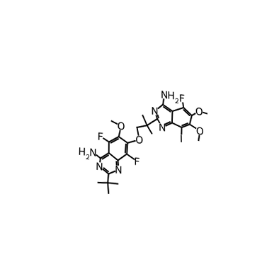 COc1c(OC)c(F)c2c(N)nc(C(C)(C)COc3c(OC)c(F)c4c(N)nc(C(C)(C)C)nc4c3F)nc2c1I